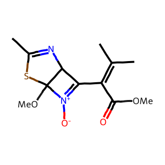 COC(=O)C(=C(C)C)C1=[N+]([O-])C2(OC)SC(C)=NC12